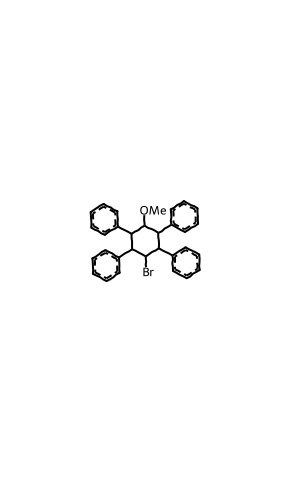 COC1C(c2ccccc2)C(c2ccccc2)C(Br)C(c2ccccc2)C1c1ccccc1